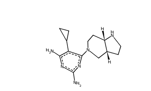 Nc1nc(N)c(C2CC2)c(N2CC[C@@H]3NCC[C@@H]3C2)n1